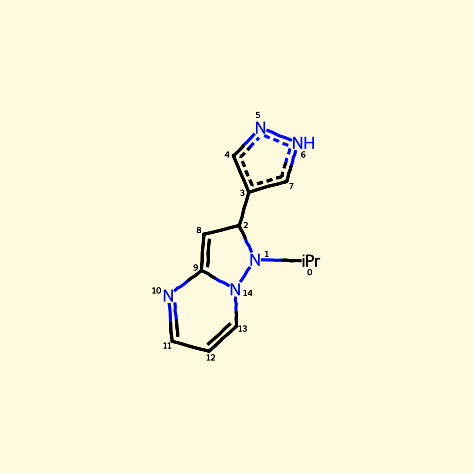 CC(C)N1C(c2cn[nH]c2)C=C2N=CC=CN21